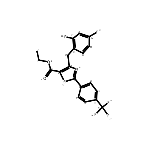 CCOC(=O)c1sc(-c2ccc(C(F)(F)F)cc2)nc1Cc1ccc(F)cc1F